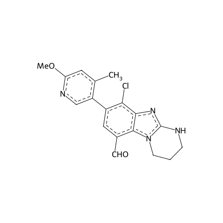 COc1cc(C)c(-c2cc(C=O)c3c(nc4n3CCCN4)c2Cl)cn1